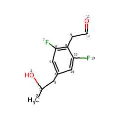 CC(O)Cc1cc(F)c(CC=O)c(F)c1